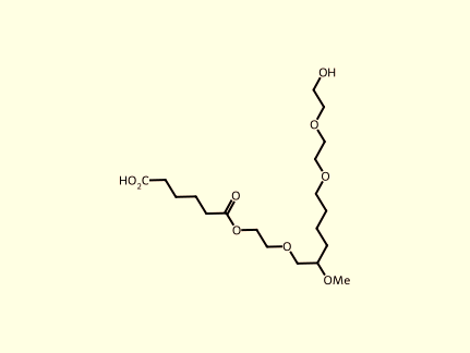 COC(CCCCOCCOCCO)COCCOC(=O)CCCCC(=O)O